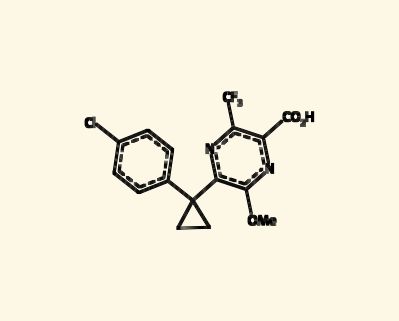 COc1nc(C(=O)O)c(C(F)(F)F)nc1C1(c2ccc(Cl)cc2)CC1